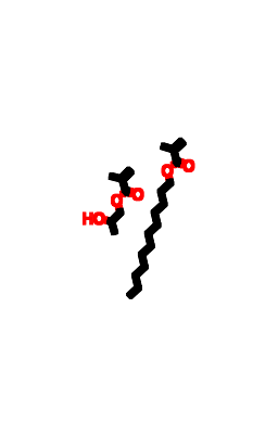 C=C(C)C(=O)OCC(C)O.C=C(C)C(=O)OCCCCCCCCCCCC